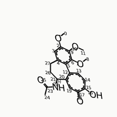 COc1cc2c(c(OC)c1OC)-c1ccc(O)c(=O)cc1[C@@H](NC(C)=O)CC2